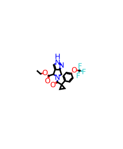 CCOC(=O)C1c2c[nH]nc2CN1C(=O)C1(c2ccc(OC(F)(F)F)cc2)CC1